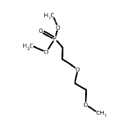 COCCOCCP(=O)(OC)OC